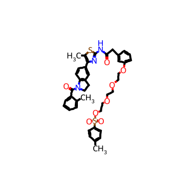 Cc1ccc(S(=O)(=O)OCCOCCOCCOc2cccc(CC(=O)Nc3nc(-c4ccc5c(c4)CCN5C(=O)c4ccccc4C)c(C)s3)c2)cc1